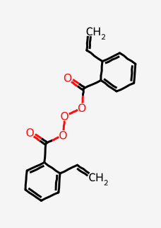 C=Cc1ccccc1C(=O)OOOC(=O)c1ccccc1C=C